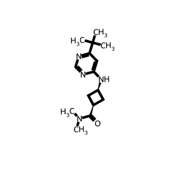 CN(C)C(=O)[C@H]1C[C@@H](Nc2cc(C(C)(C)C)ncn2)C1